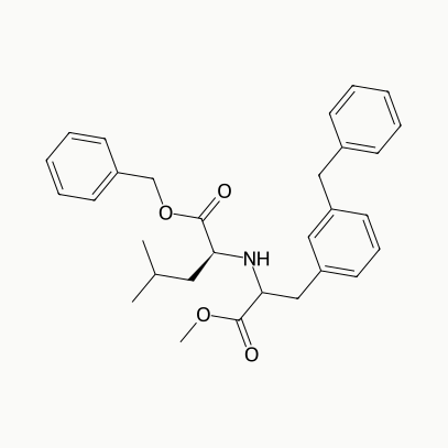 COC(=O)C(Cc1cccc(Cc2ccccc2)c1)N[C@@H](CC(C)C)C(=O)OCc1ccccc1